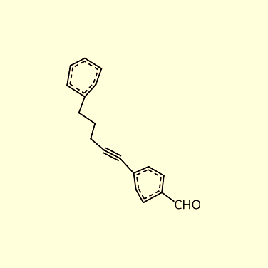 O=Cc1ccc(C#CCCCc2ccccc2)cc1